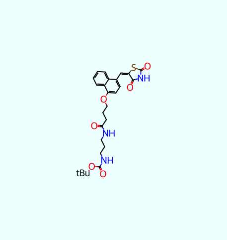 CC(C)(C)OC(=O)NCCCNC(=O)CCCOc1ccc(C=C2SC(=O)NC2=O)c2ccccc12